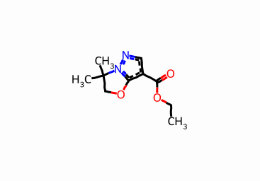 CCOC(=O)c1cnn2c1OCC2(C)C